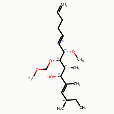 C=CCC/C=C/[C@H](OC)[C@@H](OCOC)[C@H](C)[C@@H](O)/C(C)=C/[C@H](C)CC